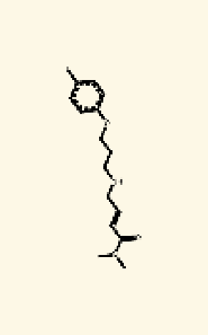 CN(C)C(=O)C=CCNCCCOc1ccc(I)cc1